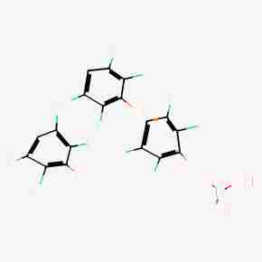 Fc1cc(F)c(F)c(P)c1F.Fc1cc(F)c(F)c(P)c1F.Fc1cc(F)c(F)c(P)c1F.OB(O)O